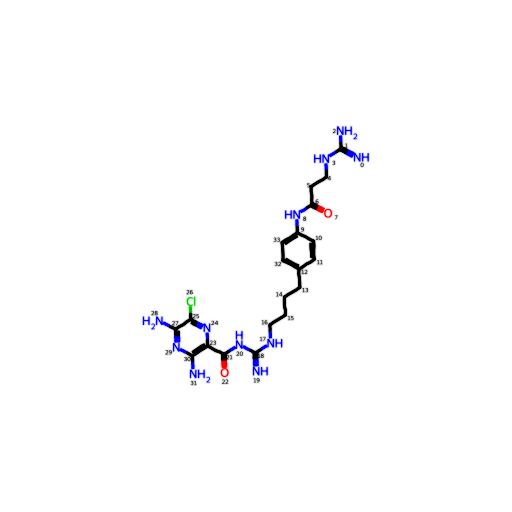 N=C(N)NCCC(=O)Nc1ccc(CCCCNC(=N)NC(=O)c2nc(Cl)c(N)nc2N)cc1